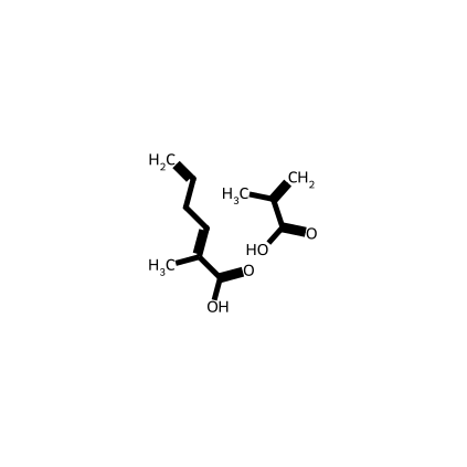 C=C(C)C(=O)O.C=CC/C=C(\C)C(=O)O